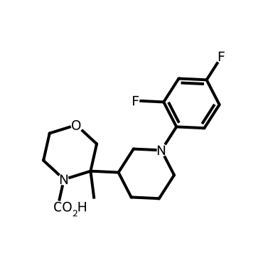 CC1(C2CCCN(c3ccc(F)cc3F)C2)COCCN1C(=O)O